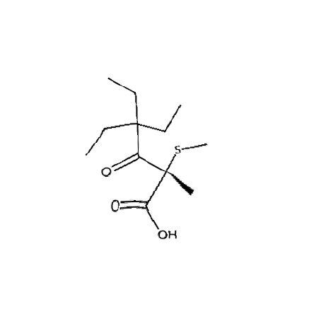 CCC(CC)(CC)C(=O)[C@](C)(SC)C(=O)O